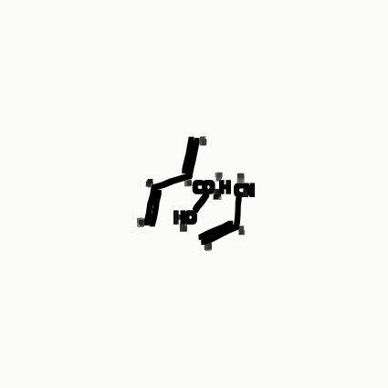 C=CC#N.C=CC=C.O=C(O)O